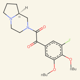 CCCCOc1cc(C(=O)C(=O)N2CCN3CCC[C@H]3C2)cc(F)c1OCCCC